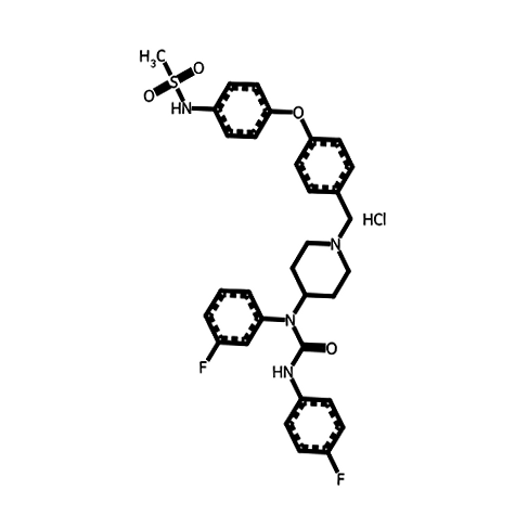 CS(=O)(=O)Nc1ccc(Oc2ccc(CN3CCC(N(C(=O)Nc4ccc(F)cc4)c4cccc(F)c4)CC3)cc2)cc1.Cl